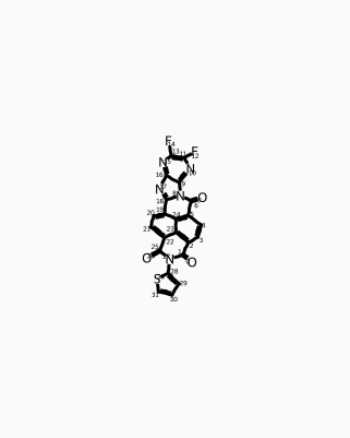 O=C1c2ccc3c(=O)n4c5nc(F)c(F)nc5nc4c4ccc(c2c34)C(=O)N1c1cccs1